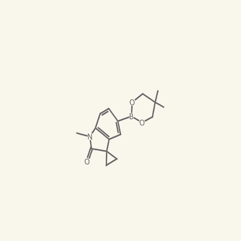 CN1C(=O)C2(CC2)c2cc(B3OCC(C)(C)CO3)ccc21